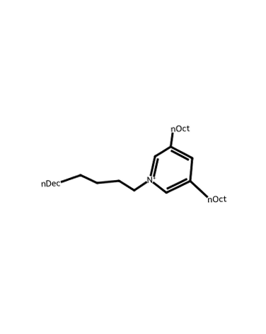 CCCCCCCCCCCCCC[n+]1cc(CCCCCCCC)cc(CCCCCCCC)c1